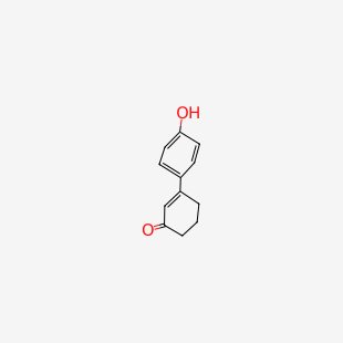 O=C1C=C(c2ccc(O)cc2)CCC1